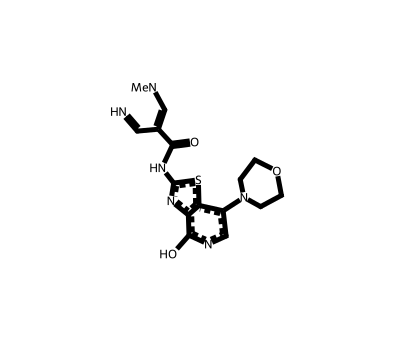 CN/C=C(\C=N)C(=O)Nc1nc2c(O)ncc(N3CCOCC3)c2s1